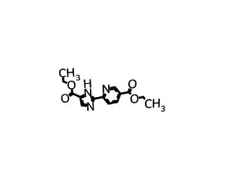 CCOC(=O)c1ccc(-c2ncc(C(=O)OCC)[nH]2)nc1